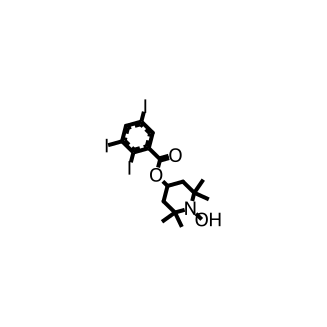 CC1(C)CC(OC(=O)c2cc(I)cc(I)c2I)CC(C)(C)N1O